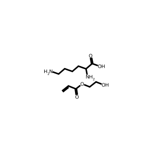 C=CC(=O)OCCO.NCCCCC(N)C(=O)O